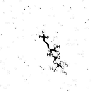 CC(C)(C)OC(=O)N[C@H](CCCC(F)(F)F)C(=O)O